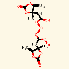 C=C1OC(=O)OC1(C)BC(O)OOOC(BC1(C)OC(=O)OC1=C)OO